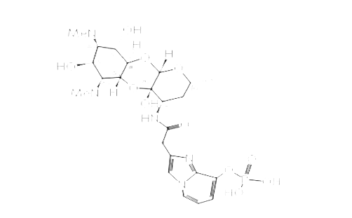 CN[C@@H]1[C@H](O)[C@H](NC)[C@H]2O[C@]3(O)[C@H](O[C@@H]2[C@H]1O)O[C@H](C)C[C@H]3NC(=O)Cc1cn2cccc(OP(=O)(O)O)c2n1